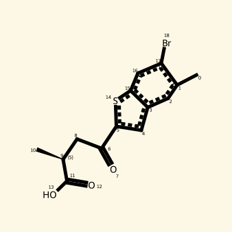 Cc1cc2cc(C(=O)C[C@H](C)C(=O)O)sc2cc1Br